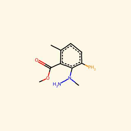 COC(=O)c1c(C)ccc(P)c1N(C)N